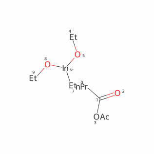 CCCC(=O)OC(C)=O.CC[O][In]([CH2]C)[O]CC